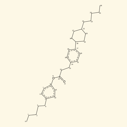 CCCCCc1ccc(OC(=O)CCc2ccc(C3CCC(CCCCC)CC3)cc2)cc1